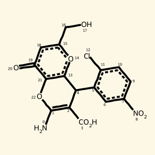 NC1=C(C(=O)O)C(c2cc([N+](=O)[O-])ccc2Cl)c2oc(CO)cc(=O)c2O1